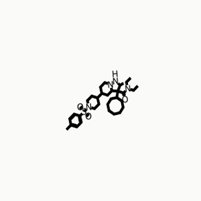 CCN(CC)C(=O)C1(C2CCCCCCC2)C(C)NN2CCC(C3CCN(S(=O)(=O)c4ccc(C)cc4)CC3)CC21